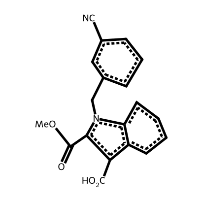 COC(=O)c1c(C(=O)O)c2ccccc2n1Cc1cccc(C#N)c1